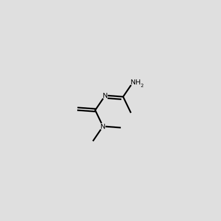 C=C(/N=C(\C)N)N(C)C